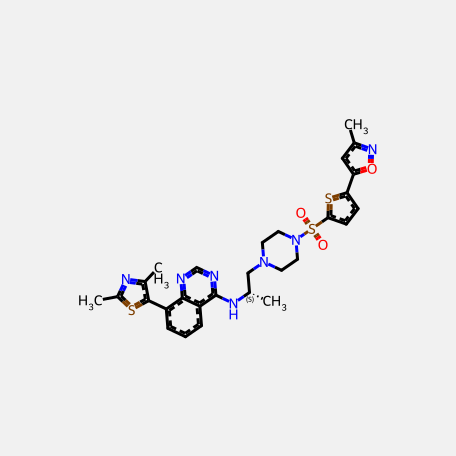 Cc1cc(-c2ccc(S(=O)(=O)N3CCN(C[C@H](C)Nc4ncnc5c(-c6sc(C)nc6C)cccc45)CC3)s2)on1